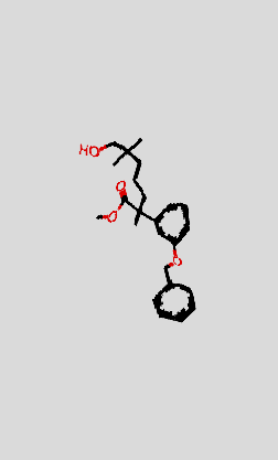 COC(=O)C(C)(CCCC(C)(C)CO)c1cccc(OCc2ccccc2)c1